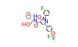 O=C(NC(CO)[C@@H]1CCOC1)c1cc(-c2ccc(OC(F)F)cc2)nn(-c2cccc(F)c2)c1=O